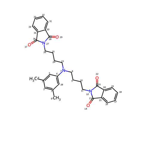 Cc1cc(C)cc(N(CCCCN2C(=O)c3ccccc3C2=O)CCCCN2C(=O)c3ccccc3C2=O)c1